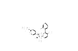 Cc1ccccc1-c1nc(NS(=O)(=O)c2ccc(N)nc2)ccc1Cl